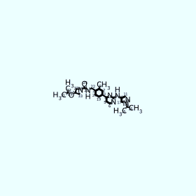 Cc1cc(-c2ccnc(Nc3cnn(C(C)C)c3)n2)ccc1CNC(=O)N1CC(OC(C)C)C1